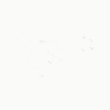 CCc1ccc(-c2ccccc2)cc1NS(=O)(=O)c1cc(-c2nn[nH]n2)ccc1OC